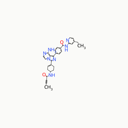 CC#CC(=O)NC1CC=C(c2nc(-c3ccc(C(=O)Nc4cc(CC)ccn4)cc3)c3c(N)nccn23)CC1